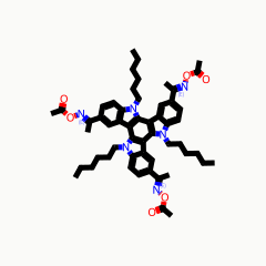 CCCCCCn1c2ccc(/C(C)=N/OC(C)=O)cc2c2c1c1c3cc(/C(C)=N/OC(C)=O)ccc3n(CCCCCC)c1c1c3cc(/C(C)=N/OC(C)=O)ccc3n(CCCCCC)c21